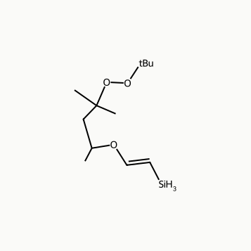 CC(CC(C)(C)OOC(C)(C)C)OC=C[SiH3]